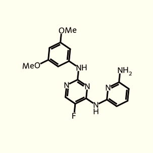 COc1cc(Nc2ncc(F)c(Nc3cccc(N)n3)n2)cc(OC)c1